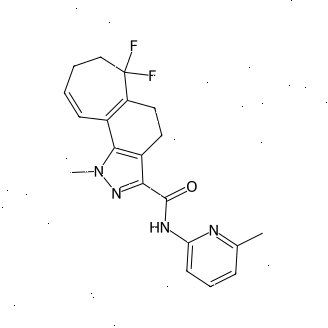 Cc1cccc(NC(=O)c2nn(C)c3c2CCC2=C3C=CCCC2(F)F)n1